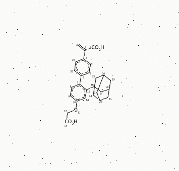 C=C(C(=O)O)c1ccc(-c2ccc(OCC(=O)O)cc2C23CC4CC(CC(C4)C2)C3)cc1